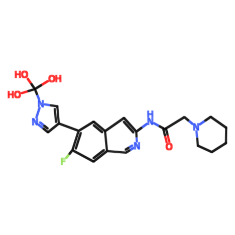 O=C(CN1CCCCC1)Nc1cc2cc(-c3cnn(C(O)(O)O)c3)c(F)cc2cn1